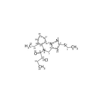 CCSc1nnc(CN(C(=O)C(Cl)CC)c2ccccc2CC)s1